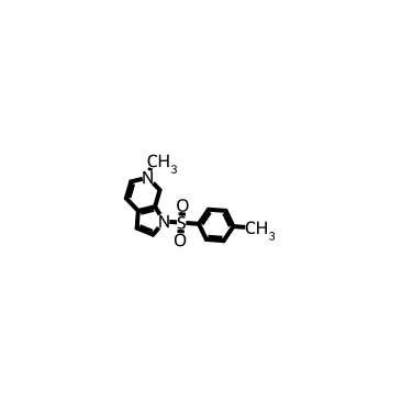 Cc1ccc(S(=O)(=O)n2ccc3c2CN(C)C=C3)cc1